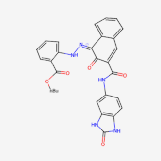 CCCCOC(=O)c1ccccc1N/N=C1\C(=O)C(C(=O)Nc2ccc3[nH]c(=O)[nH]c3c2)=Cc2ccccc21